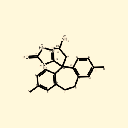 Cc1ccc2c(c1)CCc1cc(C)ccc1C2(C[C@@H](C)N)c1n[nH]c(=O)[nH]1